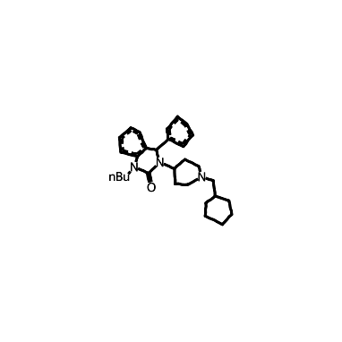 CCCCN1C(=O)N(C2CCN(CC3CCCCC3)CC2)C(c2ccccc2)c2ccccc21